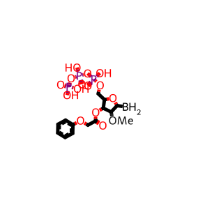 BC1OC(COP(=O)(O)OP(=O)(O)OP(=O)(O)O)C(OC(=O)COc2ccccc2)C1OC